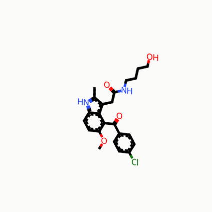 COc1ccc2[nH]c(C)c(CC(=O)NCCCCO)c2c1C(=O)c1ccc(Cl)cc1